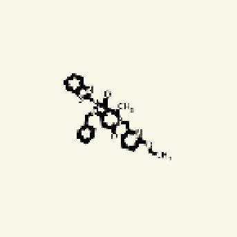 CCOc1cccc(Cn2c(C)c3c(=O)n(-c4nc5ccccc5s4)n(Cc4ccccc4)c3cc2=O)n1